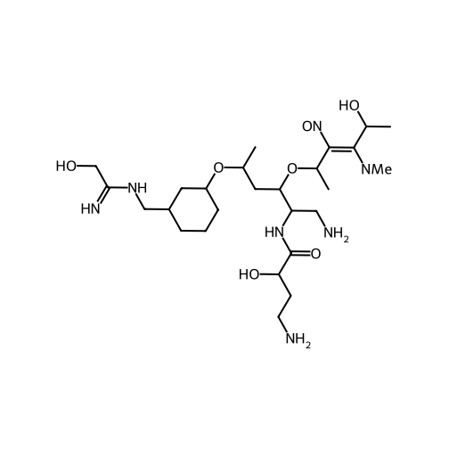 CN/C(=C(/N=O)C(C)OC(CC(C)OC1CCCC(CNC(=N)CO)C1)C(CN)NC(=O)C(O)CCN)C(C)O